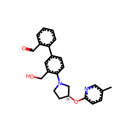 Cc1ccc(O[C@H]2CCN(c3ccc(-c4ccccc4C=O)cc3CO)C2)nc1